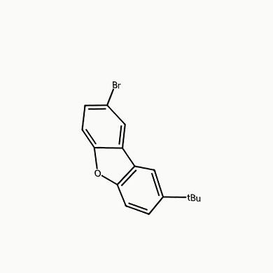 CC(C)(C)c1ccc2oc3ccc(Br)cc3c2c1